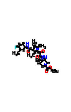 CCC1(NC(=O)C(=O)c2c(C)c(C(=O)Nc3ccc(F)c(C)c3)c(C)n2C)CCN(C(=O)OC(C)(C)C)CC1